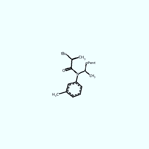 CCCCCC(C)N(C(=O)C(C)C(C)(C)C)c1cccc(C)c1